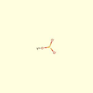 [O-]P([O-])[O-].[Y+3]